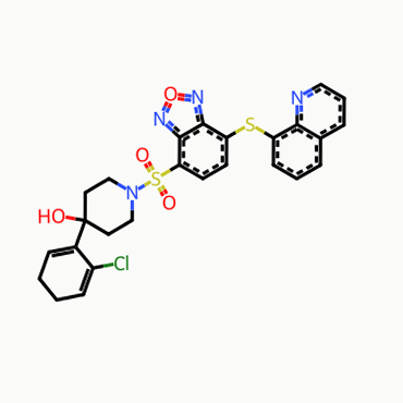 O=S(=O)(c1ccc(Sc2cccc3cccnc23)c2nonc12)N1CCC(O)(C2=CCCC=C2Cl)CC1